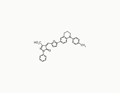 Cc1ccc(N2CCCc3cc(-c4ccc(/C=C5\C(=O)N(c6ccccc6)N=C5C(=O)O)o4)ccc32)cc1